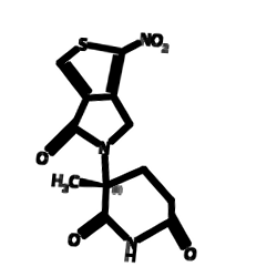 C[C@@]1(N2Cc3c(csc3[N+](=O)[O-])C2=O)CCC(=O)NC1=O